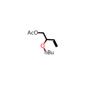 C=CC(COC(C)=O)OCCCC